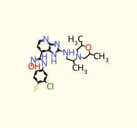 CC1CN(C(C)CNc2nc3nccc(/C(=N/O)Nc4ccc(F)c(Cl)c4)c3[nH]2)CC(C)O1